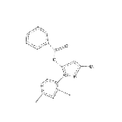 CCc1cc(OC(=O)c2ccccc2)n(-c2ccc(C)cc2C)n1